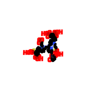 CC1(C)C(/C=C/C(=C/C=C2/N(CCCSOOO)c3ccc4c(S(=O)(=O)O)cc(S(=O)(=O)O)cc4c3C2(C)C)c2ccc(C(=O)ON3C(=O)CCC3=O)cn2)=[N+](CCCS(=O)(=O)[O-])c2ccc3c(SOOO)cc(S(=O)(=O)O)cc3c21